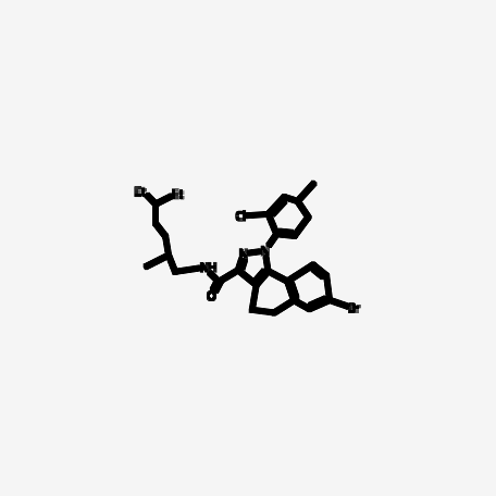 CCC(CC)CCC(C)CNC(=O)c1nn(C2=CCC(C)C=C2Cl)c2c1CCc1cc(Br)ccc1-2